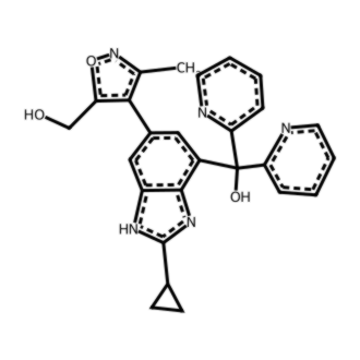 Cc1noc(CO)c1-c1cc(C(O)(c2ccccn2)c2ccccn2)c2nc(C3CC3)[nH]c2c1